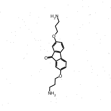 NCCCOc1ccc2c(c1)C(=O)c1cc(OCCCN)ccc1-2